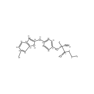 CCCC(=O)C(C)(N)Oc1ccc(Oc2nc3ccc(C)cc3o2)cc1